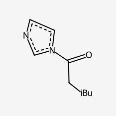 CCC(C)CC(=O)n1ccnc1